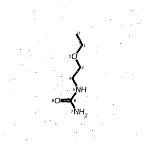 CCOCCNC(N)=O